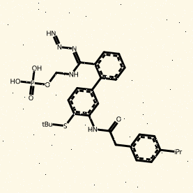 CC(C)c1ccc(CC(=O)Nc2cc(-c3ccccc3/C(=N/N=N)NCOP(=O)(O)O)ccc2SC(C)(C)C)cc1